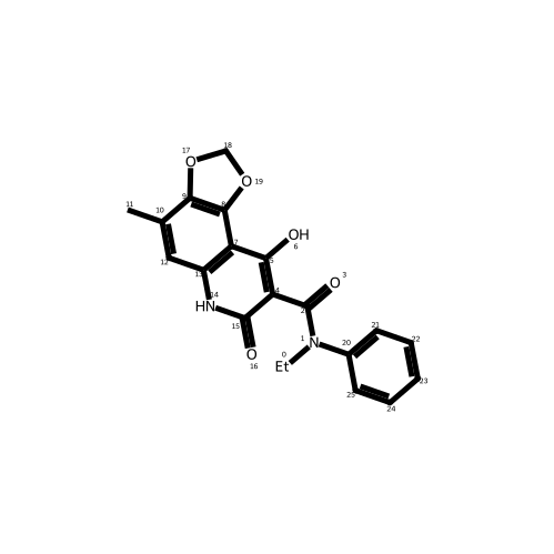 CCN(C(=O)c1c(O)c2c3c(c(C)cc2[nH]c1=O)OCO3)c1ccccc1